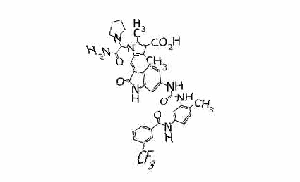 Cc1ccc(NC(=O)c2cccc(C(F)(F)F)c2)cc1NC(=O)Nc1ccc2c(c1)NC(=O)C2=Cc1c(C)c(C(=O)O)c(C)n1C(C(N)=O)N1CCCC1